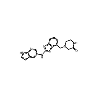 O=C1CN(Cc2cccc3nc(Nc4cnc5[nH]ccc5c4)nn23)CCN1